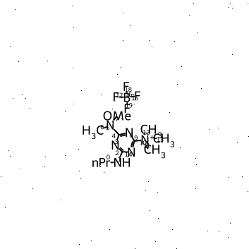 CCCNc1nc(N(C)OC)nc([N+](C)(C)C)n1.F[B-](F)(F)F